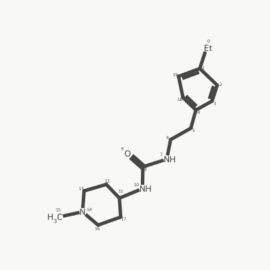 CCc1ccc(CCNC(=O)NC2CCN(C)CC2)cc1